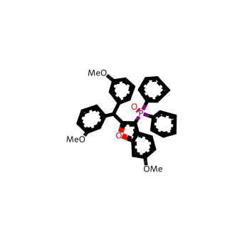 COc1cccc(C(c2cccc(OC)c2)c2oc3cc(OC)ccc3c2P(=O)(c2ccccc2)c2ccccc2)c1